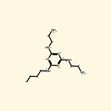 CCCCNc1nc(NCCN)nc(NCCN)n1